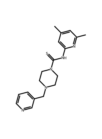 Cc1cc(C)nc(NC(=S)N2CCN(Cc3cccnc3)CC2)c1